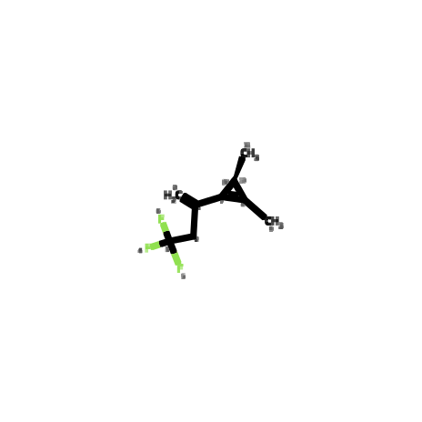 C=C(CC(F)(F)F)C1=C(C)[C@@H]1C